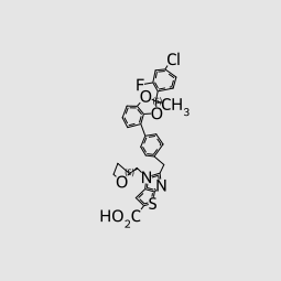 C[C@]1(c2ccc(Cl)cc2F)Oc2cccc(-c3ccc(Cc4nc5sc(C(=O)O)cc5n4C[C@@H]4CCO4)cc3)c2O1